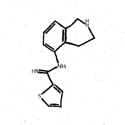 N=C(Nc1cccc2c1CCNC2)c1cccs1